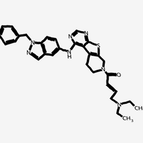 CCN(CC)C/C=C/C(=O)N1CCc2c(sc3ncnc(Nc4ccc5c(cnn5Cc5ccccc5)c4)c23)C1